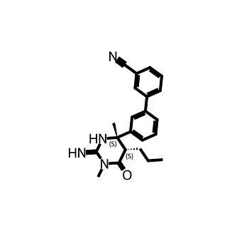 CCC[C@@H]1C(=O)N(C)C(=N)N[C@]1(C)c1cccc(-c2cccc(C#N)c2)c1